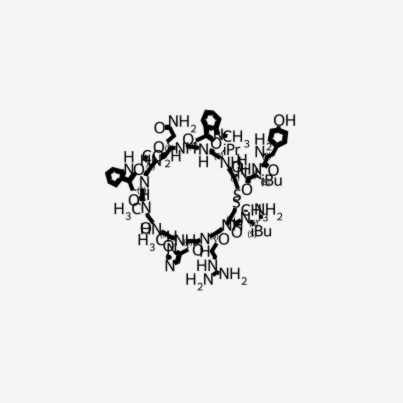 CC[C@H](C)[C@H](NC(=O)[C@H](N)Cc1ccc(O)cc1)C(=O)N[C@H]1CSSC[C@@H](C(=O)N(C)[C@H](CN)[C@@H](C)CC)NC(=O)[C@H](CCCNC(N)N)NC(=O)[C@H](Cc2cnc[nH]2)NC(=O)[C@H](C)NC(=O)CN(C)C(=O)[C@H](Cc2c[nH]c3ccccc23)NC(=O)[C@H](CC(=O)O)NC(=O)[C@H](CCC(N)=O)NC(=O)[C@H](Cc2cn(C)c3ccccc23)NC(=O)[C@H](C(C)C)NC1=O